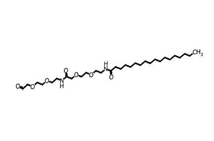 CCCCCCCCCCCCCCCCCC(=O)NCCOCCOCC(=O)NCCOCCOC[C]=O